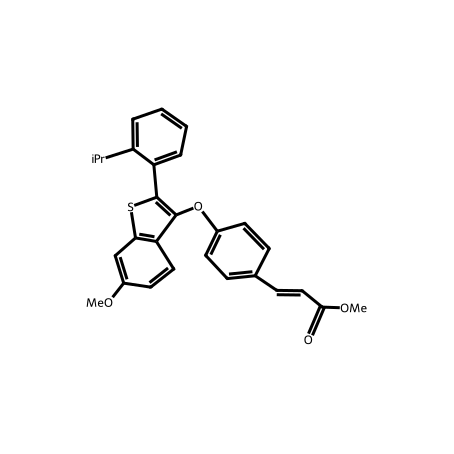 COC(=O)C=Cc1ccc(Oc2c(-c3ccccc3C(C)C)sc3cc(OC)ccc23)cc1